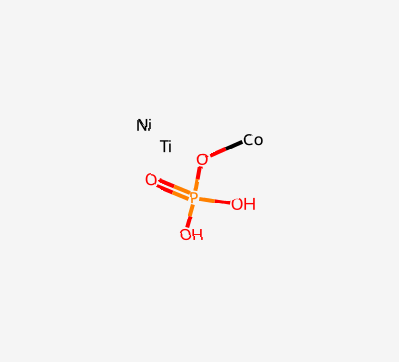 O=P(O)(O)[O][Co].[Ni].[Ti]